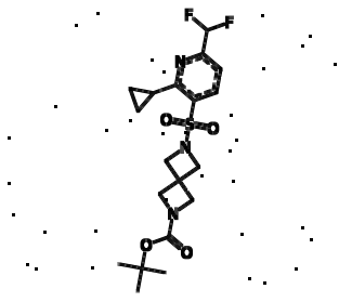 CC(C)(C)OC(=O)N1CC2(C1)CN(S(=O)(=O)c1ccc(C(F)F)nc1C1CC1)C2